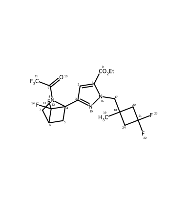 CCOC(=O)c1cc(C23CC(CN2C(=O)C(F)(F)F)C3(F)F)nn1CC1(C)CC(F)(F)C1